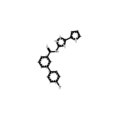 O=C(Nc1nnc(-c2ccco2)o1)c1cccc(-c2ccc(Br)cc2)c1